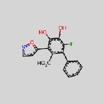 O=C(O)c1c(-c2ccno2)c(O)c(O)c(F)c1-c1ccccc1